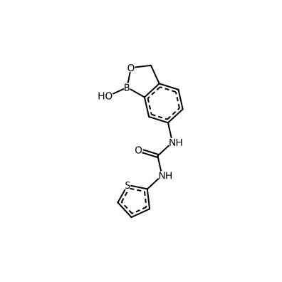 O=C(Nc1ccc2c(c1)B(O)OC2)Nc1cccs1